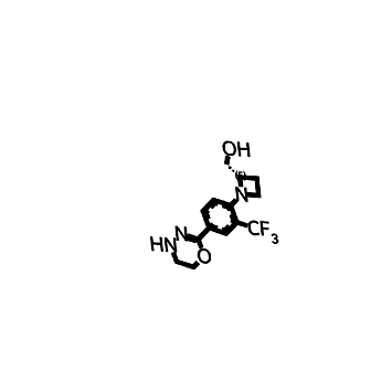 OC[C@@H]1CCN1c1ccc(C2=NNCCO2)cc1C(F)(F)F